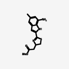 COC(=O)CC1CSC(c2cc3cc(C)cc(N)c3[nH]2)=N1